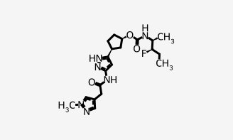 CC[C@@H](F)[C@H](C)NC(=O)O[C@@H]1CC[C@H](c2cc(NC(=O)Cc3cnn(C)c3)n[nH]2)C1